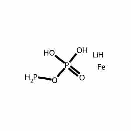 O=P(O)(O)OP.[Fe].[LiH]